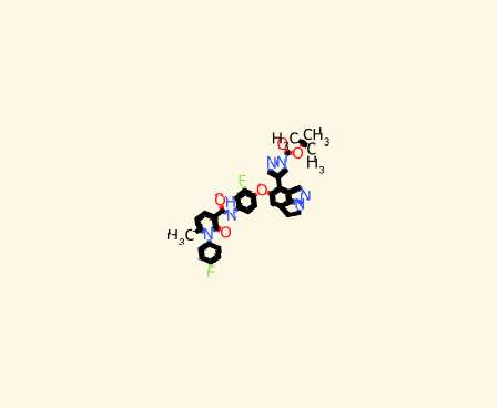 Cc1ccc(C(=O)Nc2ccc(Oc3cc4c5c(cnn5CC4)c3-c3cnn(C(=O)OC(C)(C)C)c3)c(F)c2)c(=O)n1-c1ccc(F)cc1